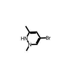 CC1=CC(Br)=CN(C)N1